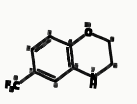 FC(F)(F)c1ccc2c(c1)NCCO2